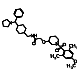 COc1cc(C)c(S(=O)(=O)N2CCCC(OCC(=O)NCC3CCC(C(c4ccccc4)N4CCCC4)CC3)C2)c(C)c1